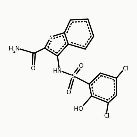 NC(=O)c1sc2ccccc2c1NS(=O)(=O)c1cc(Cl)cc(Cl)c1O